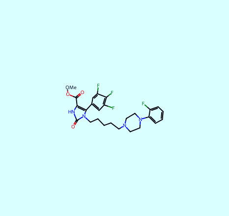 COOC(=O)c1[nH]c(=O)n(CCCCCN2CCN(c3ccccc3F)CC2)c1-c1cc(F)c(F)c(F)c1